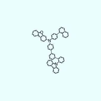 c1cc(-c2ccc(N(c3ccc(-c4cccc5ccccc45)cc3)c3ccc4c(c3)oc3ccccc34)cc2)cc(-c2ccccc2-n2c3ccccc3c3ccccc32)c1